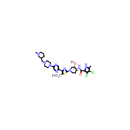 CCOC(=O)c1sc(N2CC[C@@H](NC(=O)c3[nH]c(C)c(Cl)c3Cl)[C@@H](OCC)C2)nc1-c1cnc(N2CCN(CC3CCCN(C)C3)CC2)cn1